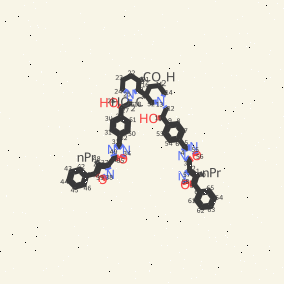 CCCc1c(-c2nc(-c3ccc(C(O)CN4CCC[C@@](C(=O)O)(C5C(C(=O)O)CCCN5CC(O)c5ccc(-c6noc(-c7noc(-c8ccccc8)c7CCC)n6)cc5)C4)cc3)no2)noc1-c1ccccc1